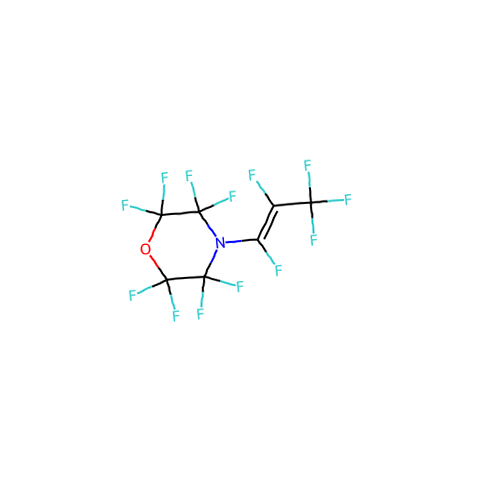 F/C(=C(/F)C(F)(F)F)N1C(F)(F)C(F)(F)OC(F)(F)C1(F)F